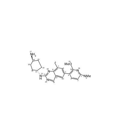 CNc1ccc(-c2cc(C)c3nc(N[C@H]4CC[C@H](N)CC4)ncc3c2)c(OC)n1